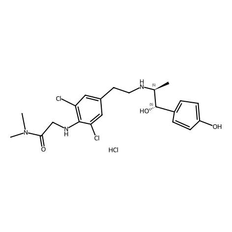 C[C@H](NCCc1cc(Cl)c(NCC(=O)N(C)C)c(Cl)c1)[C@@H](O)c1ccc(O)cc1.Cl